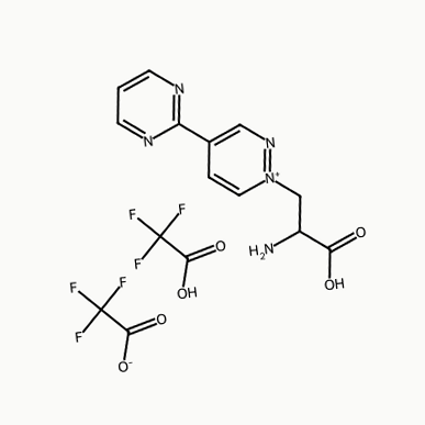 NC(C[n+]1ccc(-c2ncccn2)cn1)C(=O)O.O=C(O)C(F)(F)F.O=C([O-])C(F)(F)F